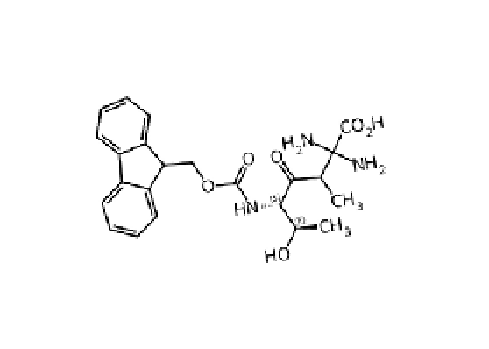 CC(C(=O)[C@@H](NC(=O)OCC1c2ccccc2-c2ccccc21)[C@@H](C)O)C(N)(N)C(=O)O